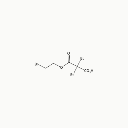 CCC(CC)(C(=O)O)C(=O)OCCBr